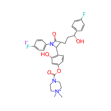 C[N+]1(C)CCN(C(=O)Oc2ccc(C3C(CCC(O)c4ccc(F)cc4)C(=O)N3c3ccc(F)cc3)c(O)c2)CC1.[I-]